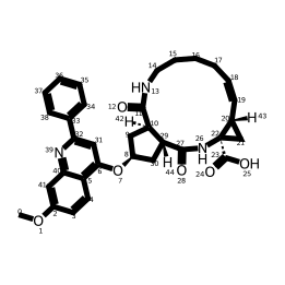 COc1ccc2c(O[C@H]3C[C@H]4C(=O)NCCCC/C=C\[C@@H]5C[C@@]5(C(=O)O)NC(=O)[C@@H]4C3)cc(-c3ccccc3)nc2c1